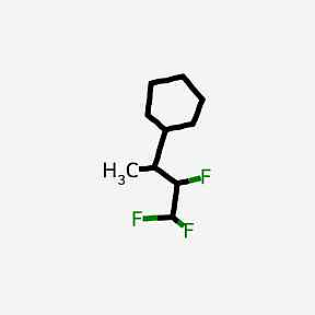 CC(C1CCCCC1)C(F)C(F)F